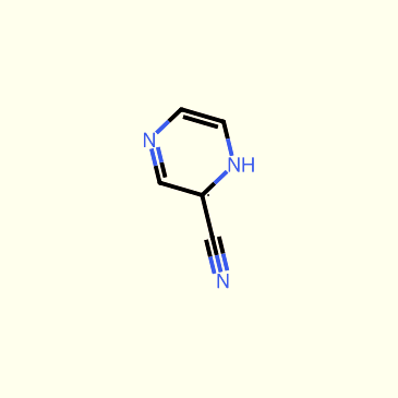 N#C[C]1C=NC=CN1